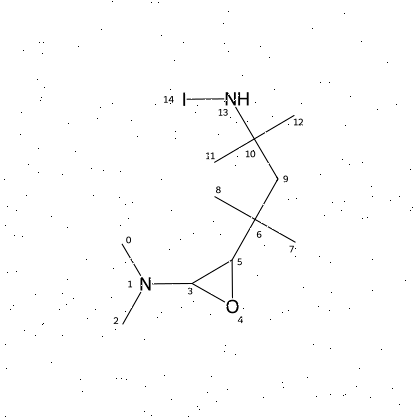 CN(C)C1OC1C(C)(C)CC(C)(C)NI